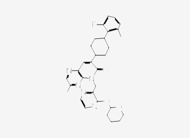 Cc1cnc2cc(C3CCC(c4c(C)cccc4F)CC3)c(=O)n(Cc3nccnc3OC3CCCCO3)c2n1